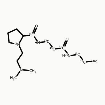 C[13C](=O)[13CH2][13CH2][15NH][13C](=O)[13CH2][13CH2]N[13C](=O)C1CCC[15N]1CCN(C)C